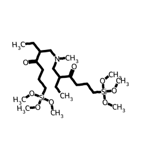 CCC(CN(C)CC(CC)C(=O)CCC[Si](OC)(OC)OC)C(=O)CCC[Si](OC)(OC)OC